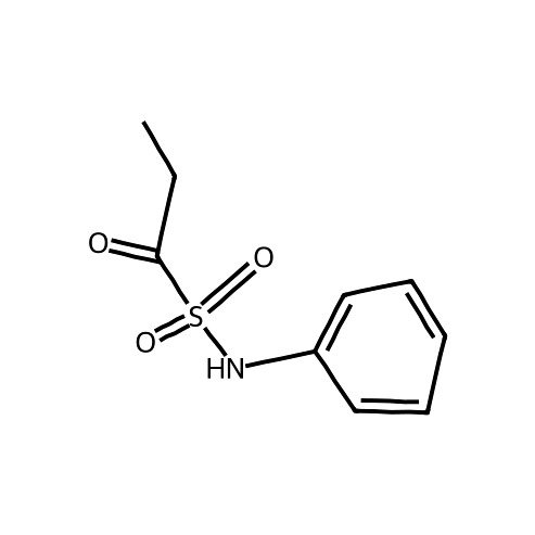 CCC(=O)S(=O)(=O)Nc1ccccc1